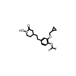 O=C1CC(CCc2ccc(OC(F)F)c(OCC3CC3)c2)CCN1O